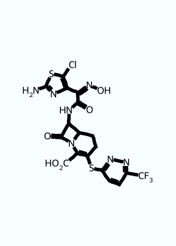 Nc1nc(/C(=N/O)C(=O)NC2C(=O)N3C(C(=O)O)=C(Sc4ccc(C(F)(F)F)nn4)CCC23)c(Cl)s1